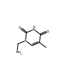 Cc1cn(CN)c(=O)[nH]c1=O